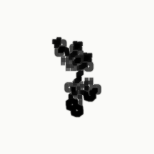 CC(C)(C)OC(=O)CC[C@H](NC(=O)N[C@@H](CCCCNC(=O)[C@H](Cc1ccc2ccccc2c1)NCc1cccc(=O)[nH]1)C(=O)OC(C)(C)C)C(=O)OC(C)(C)C